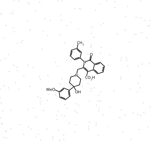 COc1cccc(C2(O)CCN(Cc3c(C(=O)O)c4ccccc4c(=O)n3-c3cccc(C)c3)CC2)c1